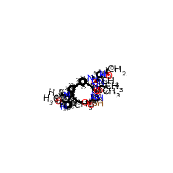 C=CC(=O)N1CC[C@](C#N)(C(=O)N(C)C(C(=O)N[C@H]2Cc3cccc(c3)-c3ccc4c(c3)c(c(-c3cccnc3[C@H](C)OC)n4CC)CC(C)(C)COC(=O)[C@@]3(S)CCCN(N3)C2=O)C(C)C)C1